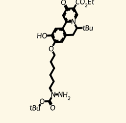 CCOC(=O)c1cn2c(cc1=O)-c1cc(O)c(OCCCCCCN(N)C(=O)OC(C)(C)C)cc1CC2C(C)(C)C